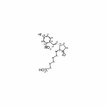 O=C(O)CCCCCC[C@@H]1C(=O)CC[C@H]1C=Cc1ccc(F)cc1[N+](=O)[O-]